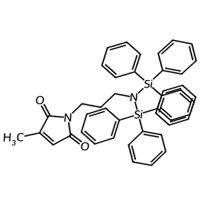 CC1=CC(=O)N(CCCN([Si](c2ccccc2)(c2ccccc2)c2ccccc2)[Si](c2ccccc2)(c2ccccc2)c2ccccc2)C1=O